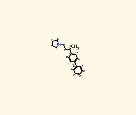 CC(CCN1CCCC1)c1ccc(-c2ccccc2)cc1